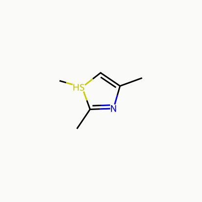 CC1=C[SH](C)C(C)=N1